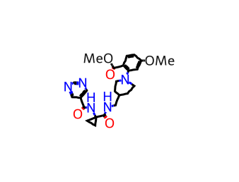 COC(=O)c1ccc(OC)cc1N1CCC(CNC(=O)C2(NC(=O)c3cncnc3)CC2)CC1